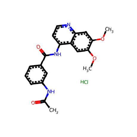 COc1cc2nccc(NC(=O)c3cccc(NC(C)=O)c3)c2cc1OC.Cl